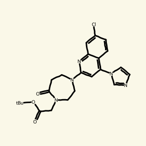 CC(C)(C)OC(=O)CN1CCN(c2cc(-n3ccnc3)c3ccc(Cl)cc3n2)CCC1=O